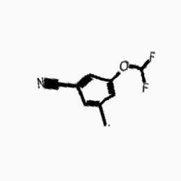 [CH2]c1cc(C#N)cc(OC(F)F)c1